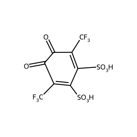 O=C1C(=O)C(C(F)(F)F)=C(S(=O)(=O)O)C(S(=O)(=O)O)=C1C(F)(F)F